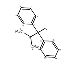 COC(OC)C(C)(c1ccccc1)c1ccccc1